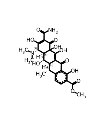 COC(=O)c1ccc2c(c1O)C(=O)C1=C(O)C3(O)C(=O)C(C(N)=O)=C(O)[C@@H](N(C)C)[C@@H]3[C@@H](O)[C@@H]1[C@H]2C